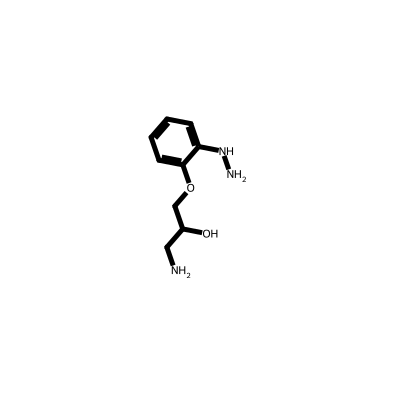 NCC(O)COc1ccccc1NN